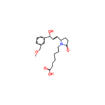 COCc1cccc(C(O)C=CC2CCC(=O)N2CCCCCCC(=O)O)c1